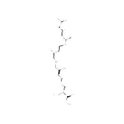 COC(=O)C(N)CSC/C=C(\C)CCCC(C)CCCC(C)CCCC(C)C